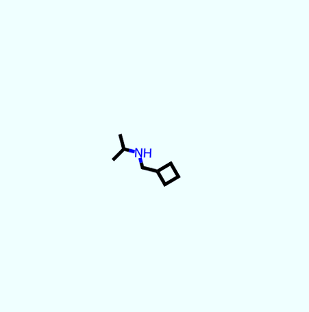 CC(C)NCC1CCC1